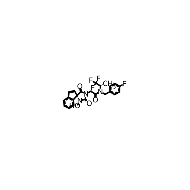 C[C@H](N(Cc1ccc(F)cc1)C(=O)CN1C(=O)N(O)[C@]2(C=Cc3ccccc32)C1=O)C(F)(F)F